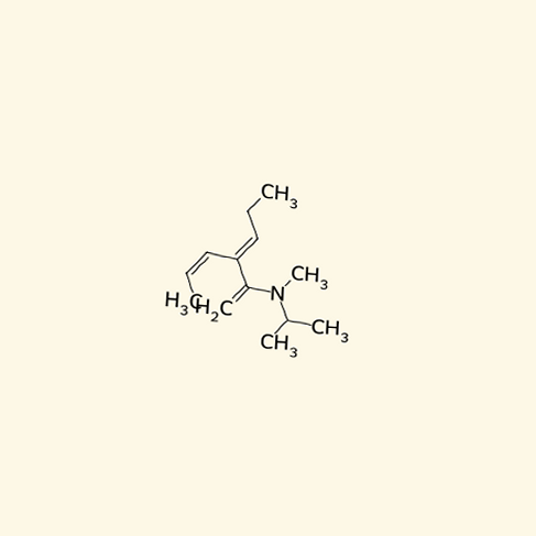 C=C(C(/C=C\C)=C/CC)N(C)C(C)C